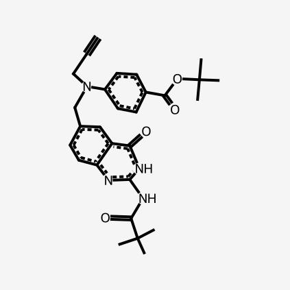 C#CCN(Cc1ccc2nc(NC(=O)C(C)(C)C)[nH]c(=O)c2c1)c1ccc(C(=O)OC(C)(C)C)cc1